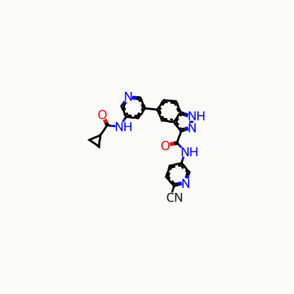 N#Cc1ccc(NC(=O)c2n[nH]c3ccc(-c4cncc(NC(=O)C5CC5)c4)cc23)cn1